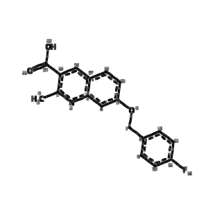 Cc1nc2cc(OCc3ccc(F)cc3)ccc2cc1C(=O)O